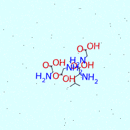 CC(C)C[C@H](N)C(=O)O.C[C@H](N)C(=O)O.NCC(=O)O.NCC(=O)O